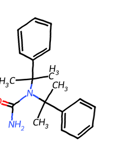 CC(C)(c1ccccc1)N(C(N)=O)C(C)(C)c1ccccc1